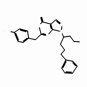 COc1ccc(Cc2nc3c(cnn3C(CCO)CCCc3ccccc3)c(=O)[nH]2)cc1